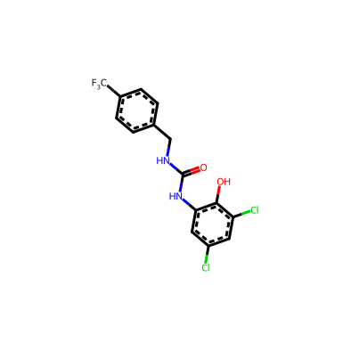 O=C(NCc1ccc(C(F)(F)F)cc1)Nc1cc(Cl)cc(Cl)c1O